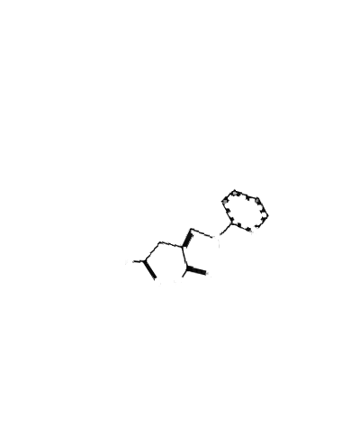 O=C(O)CC(=CNc1ccccn1)C(=O)O